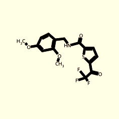 COc1ccc(CNC(=O)c2ccc(C(=O)C(F)(F)F)s2)c(OC)c1